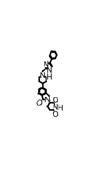 O=C1CCC(N2Cc3cc(C4CCN(Cc5nc(-c6ccccc6)c[nH]5)CC4)ccc3C2=O)C(=O)N1